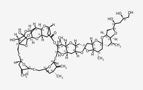 C=C1C[C@@H]2CC[C@]34OC5[C@@H]6O[C@H]7CC[C@H](CC(=O)O[C@@H]8[C@@H](C)[C@@H]9O[C@@H]%10C[C@@]%11(C[C@@H]%12O[C@]%13(C[C@H](C)[C@@H]%14O[C@H]([C@@H](O)C[C@@H](O)CO)C[C@@H]%14O%13)C[C@H](C)[C@@H]%12O%11)O[C@@H]%10C[C@@H]9O[C@H]8C[C@H]8O[C@@H](CC[C@@H]1O2)C[C@@H](C)C8=C)O[C@@H]7[C@H](O3)[C@@H]6O[C@@]5(O)[C@H]4O